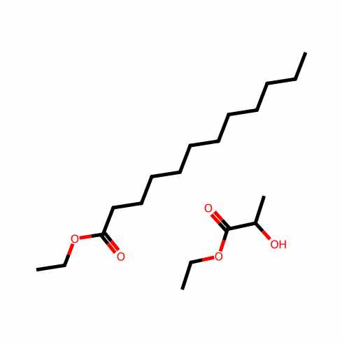 CCCCCCCCCCCC(=O)OCC.CCOC(=O)C(C)O